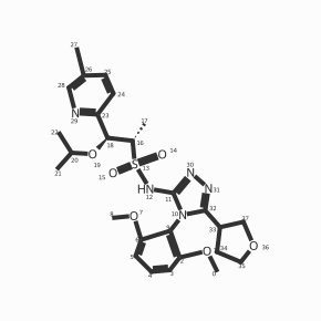 COc1cccc(OC)c1-n1c(NS(=O)(=O)[C@@H](C)[C@@H](OC(C)C)c2ccc(C)cn2)nnc1C1CCOC1